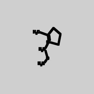 CC1=[Si]([SiH2]O[SiH3])CCC1